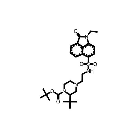 CCN1C(=O)c2cccc3c(S(=O)(=O)NCCN4CCN(C(=O)OC(C)(C)C)C(C(C)(C)C)C4)ccc1c23